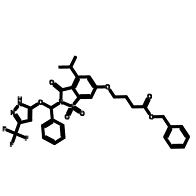 CC(C)c1cc(OCCCC(=O)OCc2ccccc2)cc2c1C(=O)N(C(Oc1cc(C(F)(F)F)n[nH]1)c1ccccc1)S2(=O)=O